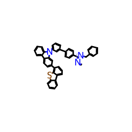 C=N/C(=N\Cc1ccccc1)c1ccc(-c2cccc(-n3c4ccccc4c4ccc(-c5cccc6c5sc5ccccc56)cc43)c2)cc1